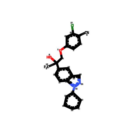 N#Cc1ccc(OCC(O)(c2ccc3c(cnn3-c3ccccc3)c2)C(F)(F)F)cc1Cl